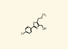 COCc1oc(-c2ccc(Cl)cc2)nc1CO